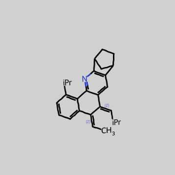 C/C=c1\c(=C/C(C)C)c2cc3c(nc2c2c(C(C)C)cccc12)C1CCC3C1